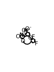 Cn1nc2c(cc1=O)OCCCCc1cc(F)cc(F)c1Oc1ccc([N+](=O)[O-])cc1-2